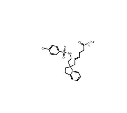 O=C(O)CCC=CCC1(CCNS(=O)(=O)c2ccc(Cl)cc2)CCc2ccccc21.[Na]